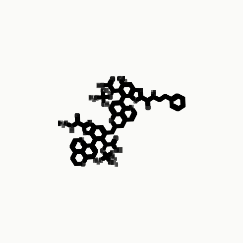 CNC(=O)c1nc2cc(CC3Cc4ccnc5c(-c6c([C@H](OC(C)(C)C)C(=O)O)c(C)cc7nc(C(=O)NCCc8ccccc8)sc67)ccc(c45)O3)c([C@H](OC(C)(C)C)C(=O)O)c(-c3ccc4c5c(ccnc35)CCO4)c2s1